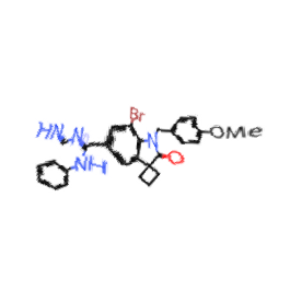 COc1ccc(CN2C(=O)C3(CCC3)c3cc(/C(=N/C=N)Nc4ccccc4)cc(Br)c32)cc1